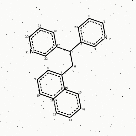 c1cncc(C(Cc2cccc3ccccc23)c2cccnc2)c1